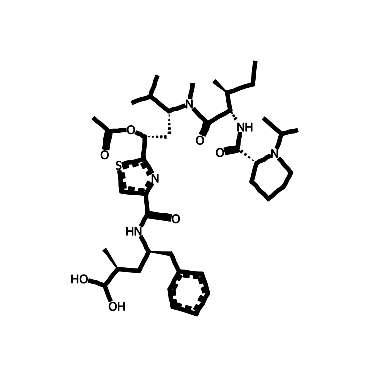 CC[C@H](C)[C@H](NC(=O)[C@H]1CCCCN1C(C)C)C(=O)N(C)[C@H](C[C@@H](OC(C)=O)c1nc(C(=O)N[C@@H](Cc2ccccc2)C[C@H](C)C(O)O)cs1)C(C)C